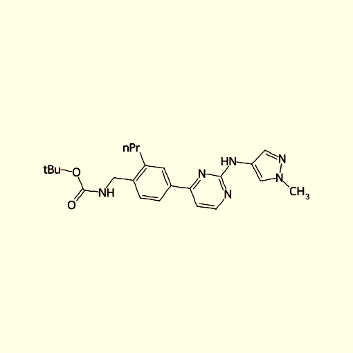 CCCc1cc(-c2ccnc(Nc3cnn(C)c3)n2)ccc1CNC(=O)OC(C)(C)C